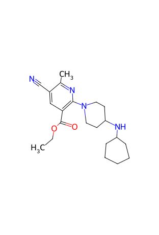 CCOC(=O)c1cc(C#N)c(C)nc1N1CCC(NC2CCCCC2)CC1